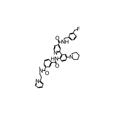 CN(CCc1ccccn1)C(=O)c1cccc(C(=O)Nc2ccc(N3CCCCC3)cc2-c2cc(C(=O)NCc3cccc(CF)c3)ccn2)c1